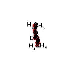 C=C(C)C(=O)CCOc1ccc2cc(C(=O)Oc3ccc(OC(=O)c4ccc5cc(OCCCCCCOC(=O)C(=C)C)ccc5c4)cc3OCC)ccc2c1